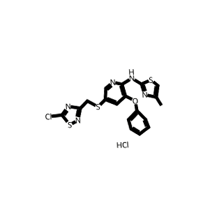 Cc1csc(Nc2ncc(SCc3nsc(Cl)n3)cc2Oc2ccccc2)n1.Cl